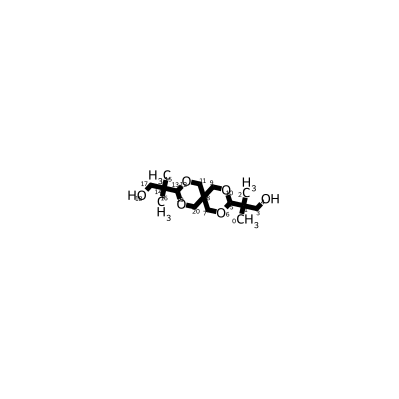 CC(C)(CO)C1OCC2(CO1)COC(C(C)(C)CO)OC2